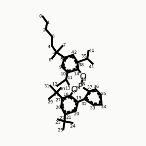 CCCCCC(C)(C)c1cc(C(C)C)c(OP2Oc3c(cc(C(C)(C)C)cc3C(C)(C)C)-c3ccccc32)c(C(C)C)c1